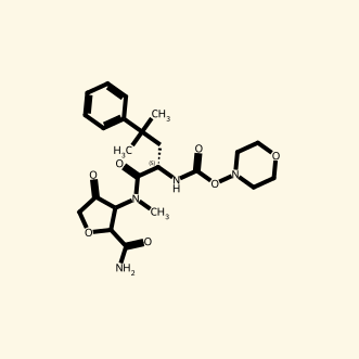 CN(C(=O)[C@H](CC(C)(C)c1ccccc1)NC(=O)ON1CCOCC1)C1C(=O)COC1C(N)=O